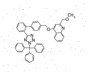 COCc1cc(OCc2ccc(-c3ccccc3-c3nnn(C(c4ccccc4)(c4ccccc4)c4ccccc4)n3)cc2)c2ccccc2n1